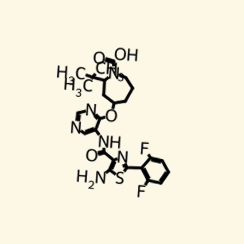 CC(C)(C)C1CC(Oc2ncncc2NC(=O)c2nc(-c3c(F)cccc3F)sc2N)CCCN1C(=O)O